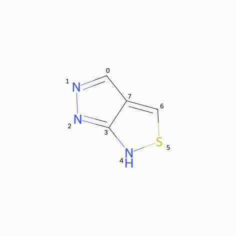 c1nnc2[nH]scc1-2